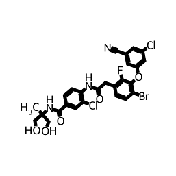 CC(CO)(CO)NC(=O)c1ccc(NC(=O)Cc2ccc(Br)c(Oc3cc(Cl)cc(C#N)c3)c2F)c(Cl)c1